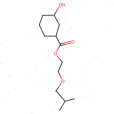 CC(C)COCCOC(=O)C1CCCC(O)C1